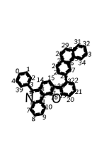 c1ccc(-c2nc3ccccc3c3c2ccc2c3oc3cccc(-c4ccc5ccc6ccccc6c5c4)c32)cc1